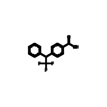 O=C(O)c1ccc([C](c2ccccc2)C(F)(F)F)cc1